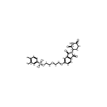 Cc1ccc(S(=O)(=O)OCCOCCOc2ccc3c(c2)C(=O)N(C2CCC(=O)NC2=O)C3=O)cc1C